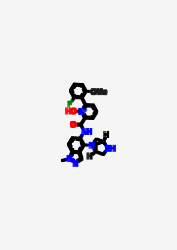 COc1cccc(F)c1-c1cccc(C(=O)Nc2ccc3c(cnn3C)c2N2C[C@H]3C[C@@H]2CN3)[n+]1O